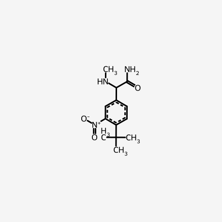 CNC(C(N)=O)c1ccc(C(C)(C)C)c([N+](=O)[O-])c1